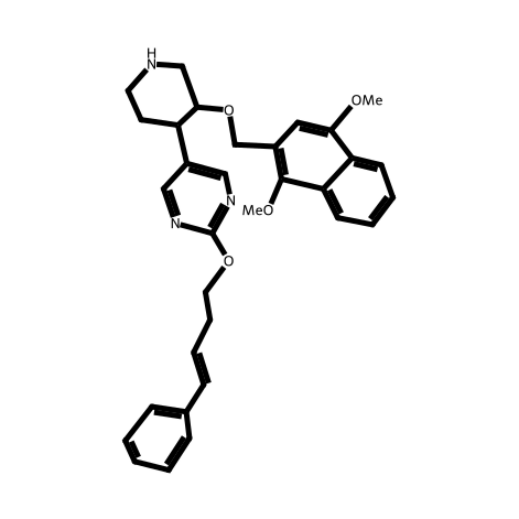 COc1cc(COC2CNCCC2c2cnc(OCCC=Cc3ccccc3)nc2)c(OC)c2ccccc12